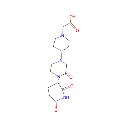 O=C(O)CN1CCC(N2CCN(C3CCC(=O)NC3=O)C(=O)C2)CC1